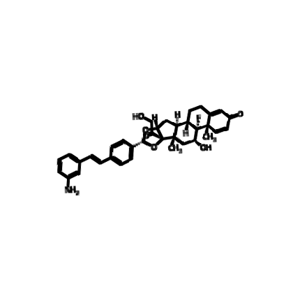 C[C@]12C=CC(=O)C=C1CC[C@H]1[C@@H]3C[C@H]4O[C@@H](c5ccc(/C=C/c6cccc(N)c6)cc5)O[C@@]4(C(=O)CO)[C@@]3(C)C[C@H](O)[C@@]12F